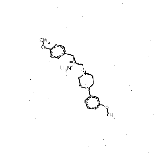 COc1ccc(C[C@@H](N)CN2CCN(c3cccc(OC)c3)CC2)cc1